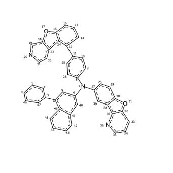 c1ccc(-c2cc(N(c3ccc(-c4cccc5oc6cnccc6c45)cc3)c3ccc4oc5cccnc5c4c3)cc3ccccc23)cc1